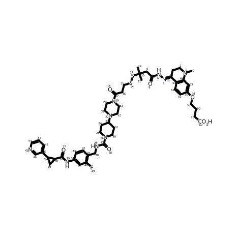 CN1CC/C(=N\NC(=O)CC(C)(C)SSCCC(=O)N2CCN(C3CCN(C(=O)NCc4ccc(NC(=O)C5CC5c5cccnc5)cc4F)CC3)CC2)c2ccc(OCCCC(=O)O)cc21